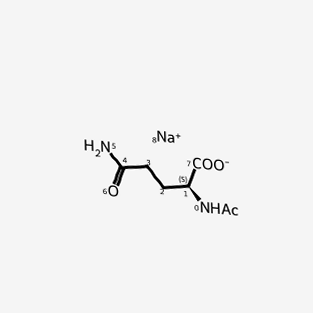 CC(=O)N[C@@H](CCC(N)=O)C(=O)[O-].[Na+]